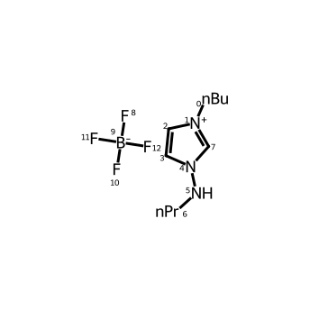 CCCC[n+]1ccn(NCCC)c1.F[B-](F)(F)F